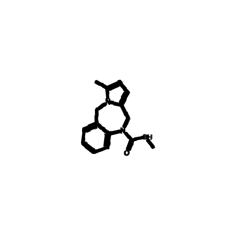 CBC(=O)N1Cc2ccc(C)n2Cc2ccccc21